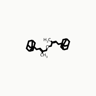 CC(=CCC12CC3CC(CC(C3)C1)C2)COCC(C)=CCC12CC3CC(CC(C3)C1)C2